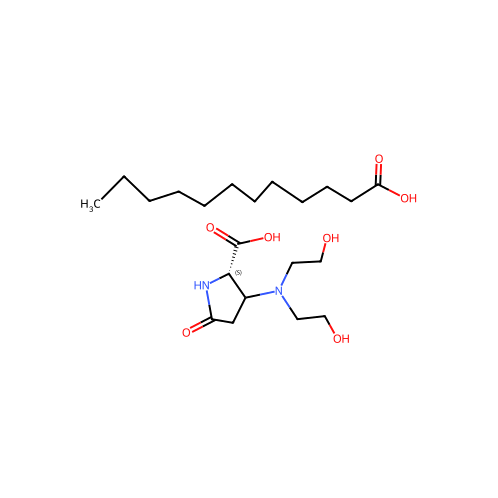 CCCCCCCCCCCC(=O)O.O=C1CC(N(CCO)CCO)[C@@H](C(=O)O)N1